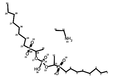 CCCCCCCCS(=O)(=O)C(C)OP(=O)(O)OC(C)S(=O)(=O)CCCCCCCC.CCN